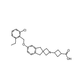 CCc1cccc(Cl)c1COc1ccc2c(c1)CC1(C2)CN(C2CC(C(=O)O)C2)C1